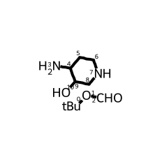 CC(C)(C)OC=O.NC1CCNCC1O